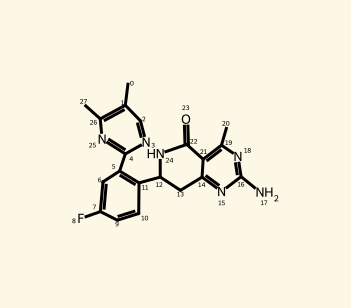 Cc1cnc(-c2cc(F)ccc2C2Cc3nc(N)nc(C)c3C(=O)N2)nc1C